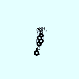 C[C@]12CC[C@@H]3c4ccc(OCc5ccccc5)cc4CC[C@H]3[C@@H]1CC[C@H]2OS(N)(=O)=O